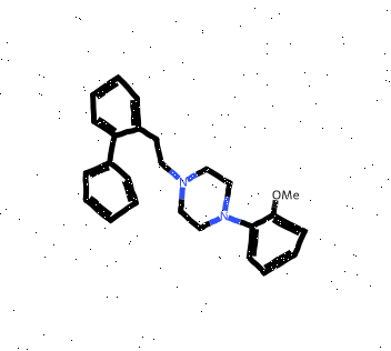 COc1ccccc1N1CCN(CCc2ccccc2-c2ccccc2)CC1